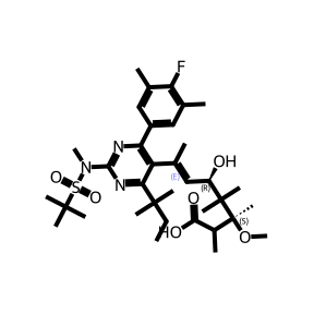 CCC(C)(C)c1nc(N(C)S(=O)(=O)C(C)(C)C)nc(-c2cc(C)c(F)c(C)c2)c1/C(C)=C/[C@@H](O)C(C)(C)[C@@](C)(OC)C(C)C(=O)O